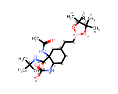 CC(=O)NC1(C(=O)NC(C)(C)C)CC(CCB2OC(C)(C)C(C)(C)O2)CCC1NC(=O)O